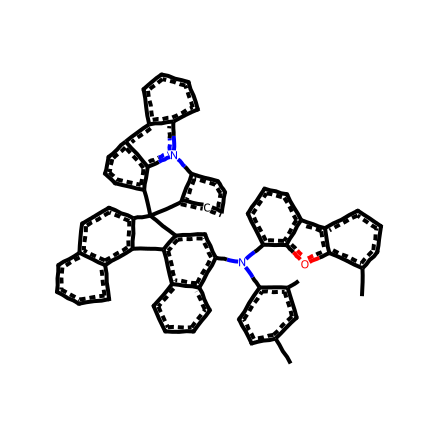 Cc1ccc(N(c2cc3c(c4ccccc24)-c2c(ccc4ccccc24)C32c3ccccc3-n3c4ccccc4c4cccc2c43)c2cccc3c2oc2c(C)cccc23)c(C)c1